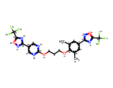 Cc1cc(-c2noc(C(F)(F)F)n2)cc(C)c1OCCCOc1ncc(-c2noc(C(F)(F)F)n2)cn1